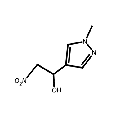 Cn1cc(C(O)C[N+](=O)[O-])cn1